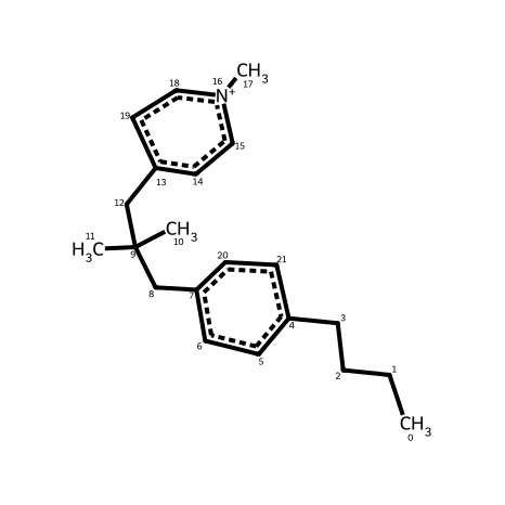 CCCCc1ccc(CC(C)(C)Cc2cc[n+](C)cc2)cc1